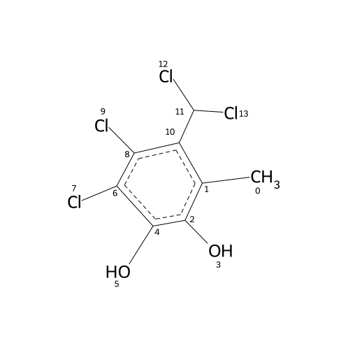 Cc1c(O)c(O)c(Cl)c(Cl)c1C(Cl)Cl